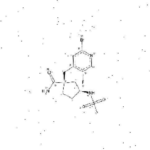 CS(=O)(=O)N[C@H]1CC[C@](Cc2cc(Br)ncc2F)(C(N)=O)C1